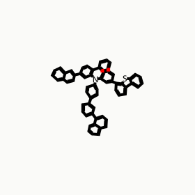 c1ccc(-c2ccc(-c3ccc4ccccc4c3)cc2N(c2ccc(-c3cccc(-c4cccc5ccccc45)c3)cc2)c2cccc(-c3cccc4c3sc3ccccc34)c2)cc1